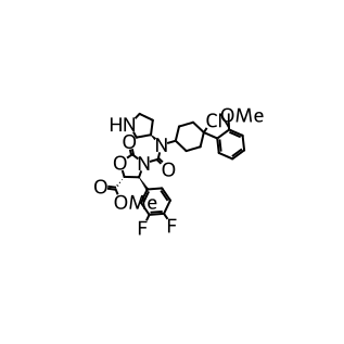 COC(=O)[C@@H]1OC(=O)N(C(=O)N(C2CCC(C#N)(c3ccccc3OC)CC2)[C@@H]2CCNC2)[C@H]1c1ccc(F)c(F)c1